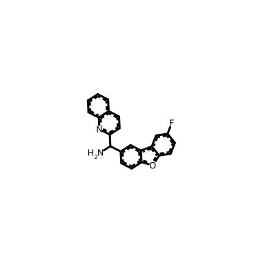 NC(c1ccc2oc3ccc(F)cc3c2c1)c1ccc2ccccc2n1